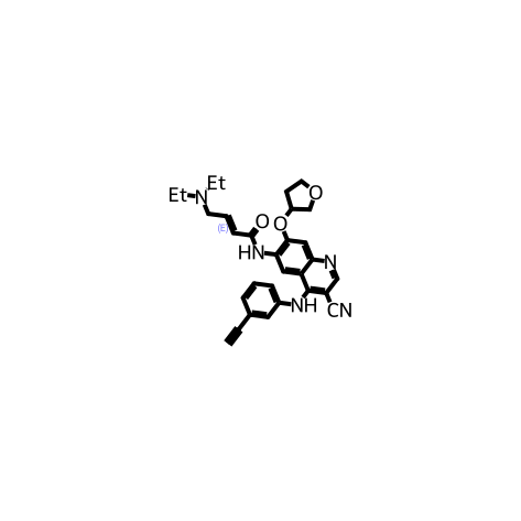 C#Cc1cccc(Nc2c(C#N)cnc3cc(OC4CCOC4)c(NC(=O)/C=C/CN(CC)CC)cc23)c1